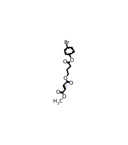 COC(=O)/C=C/C(=O)OCCCC(=O)Oc1ccc(Br)cc1